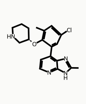 Cc1nc2c(-c3cc(Cl)cc(C)c3O[C@H]3CCCNC3)ccnc2[nH]1